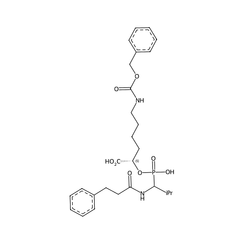 CC(C)C(NC(=O)CCc1ccccc1)P(=O)(O)O[C@@H](CCCCNC(=O)OCc1ccccc1)C(=O)O